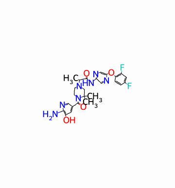 CC(C(=O)Nc1cnc(Oc2ccc(F)cc2F)cn1)N1CCN(C(=O)c2cnc(N)c(O)c2)C(C)(C)C1